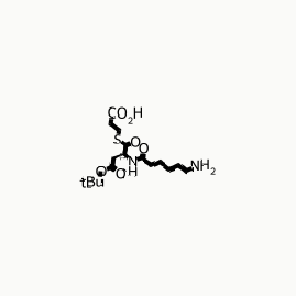 CC(C)(C)OC(=O)C[C@H](NC(=O)CCCCCN)C(=O)SCCC(=O)O